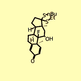 CCCCSC1(SCC)CC[C@H]2[C@@H]3CCC4=CC(=O)C=C[C@]4(C)C3(F)[C@@H](O)C[C@@]21C